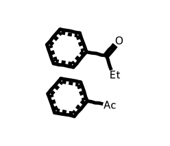 CC(=O)c1ccccc1.CCC(=O)c1ccccc1